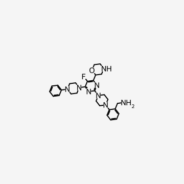 NCc1ccccc1N1CCN(c2nc(C3CNCCO3)c(F)c(N3CCN(c4ccccc4)CC3)n2)CC1